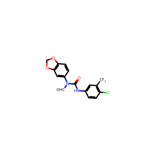 O=CN(C(=O)Nc1ccc(Cl)c(C(F)(F)F)c1)c1ccc2c(c1)OCO2